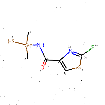 CS(C)(S)NC(=O)c1csc(F)n1